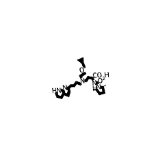 C[C@@H]1CC[C@@H](C)N1C(=O)N[C@@H](CCN(CCCCc1ccc2c(n1)NCCC2)CCOCC1CC1)C(=O)O